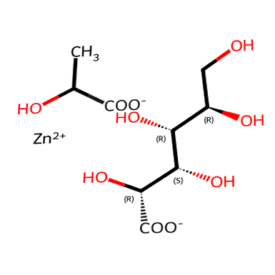 CC(O)C(=O)[O-].O=C([O-])[C@H](O)[C@@H](O)[C@H](O)[C@H](O)CO.[Zn+2]